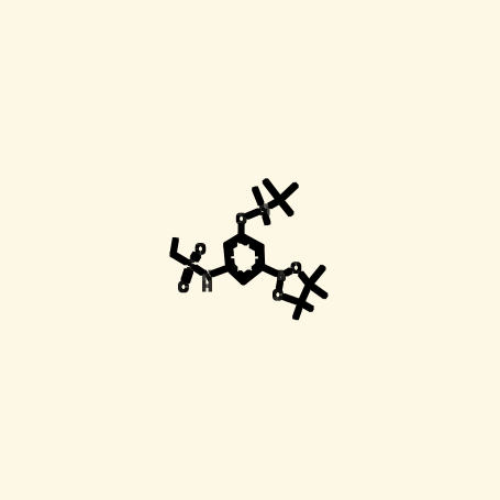 CCS(=O)(=O)Nc1cc(O[Si](C)(C)C(C)(C)C)cc(B2OC(C)(C)C(C)(C)O2)c1